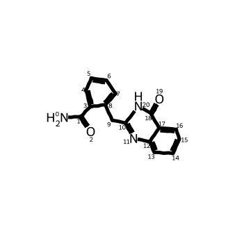 NC(=O)c1ccccc1Cc1nc2ccccc2c(=O)[nH]1